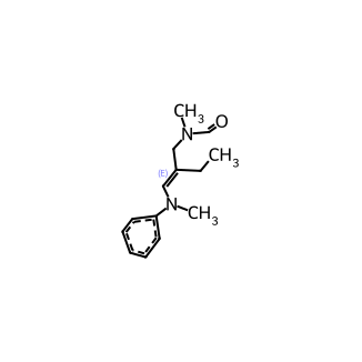 CC/C(=C\N(C)c1ccccc1)CN(C)C=O